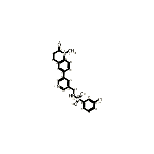 CN1C(=O)CCc2cc(-c3cncc(CNS(=O)(=O)c4cccc(Cl)c4)c3)ccc21